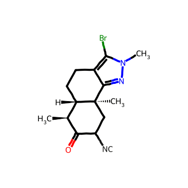 [C-]#[N+]C1C[C@]2(C)c3nn(C)c(Br)c3CC[C@H]2[C@H](C)C1=O